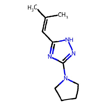 CC(C)=Cc1nc(N2CCCC2)n[nH]1